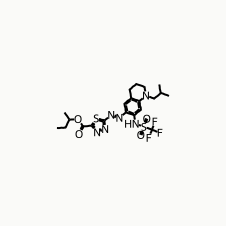 CCC(C)OC(=O)c1nnc(N=Nc2cc3c(cc2NS(=O)(=O)C(F)(F)F)N(CC(C)C)CCC3)s1